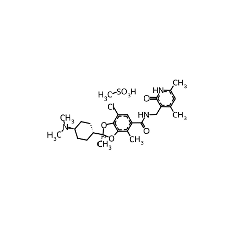 CS(=O)(=O)O.Cc1cc(C)c(CNC(=O)c2cc(Cl)c3c(c2C)O[C@@](C)([C@H]2CC[C@H](N(C)C)CC2)O3)c(=O)[nH]1